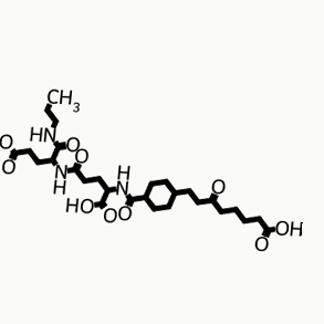 CCCNC(=O)C(CCC(=O)O)NC(=O)CCC(NC(=O)C1CCC(CCC(=O)CCCCC(=O)O)CC1)C(=O)O